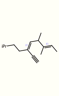 C#C/C(=C\C(C)/C(C)=C/C)CCC(C)C